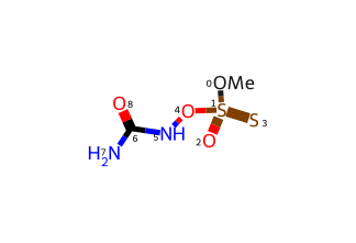 COS(=O)(=S)ONC(N)=O